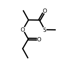 CCC(=O)OC(C)C(=O)SC